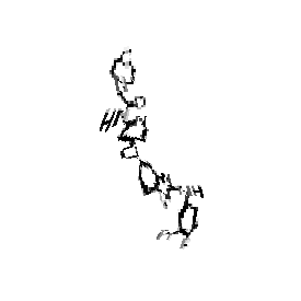 CC(C)c1cc(Nc2nc3cc(Oc4ccnc(NC(=O)CN5CCOCC5)c4)ccc3n2C)ccc1F